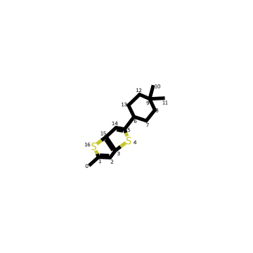 Cc1cc2sc(C3CCC(C)(C)CC3)cc2s1